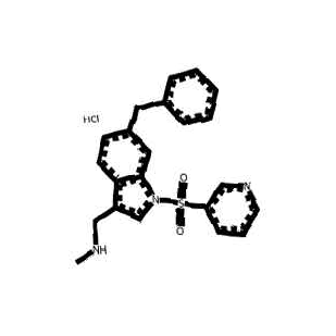 CNCc1cn(S(=O)(=O)c2cccnc2)c2cc(Cc3ccccc3)ccc12.Cl